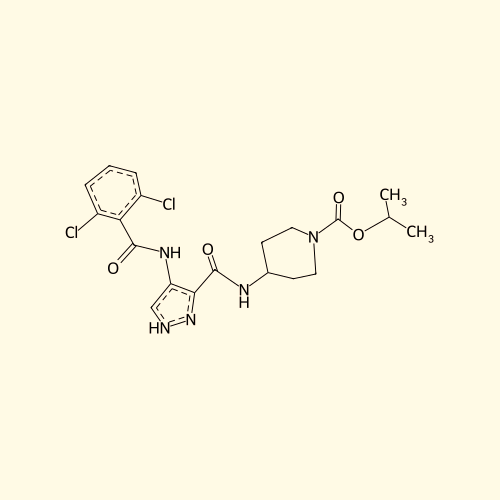 CC(C)OC(=O)N1CCC(NC(=O)c2n[nH]cc2NC(=O)c2c(Cl)cccc2Cl)CC1